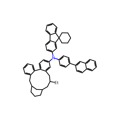 CCC1Cc2cc(N(c3ccc(-c4ccc5ccccc5c4)cc3)c3ccc4c(c3)C3(CCCCC3)c3ccccc3-4)ccc2-c2ccccc2CC2CCCC(C1)C2